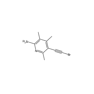 Cc1nc([SiH3])c(C)c(C)c1C#CBr